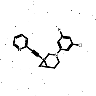 Fc1cc(Cl)cc(N2CCC3CC3(C#Cc3ccccn3)C2)c1